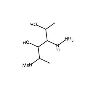 CNC(C)C(O)C(NN)C(C)O